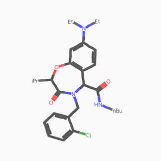 CCCCNC(=O)C1c2ccc(N(CC)CC)cc2OC(C(C)C)C(=O)N1Cc1ccccc1Cl